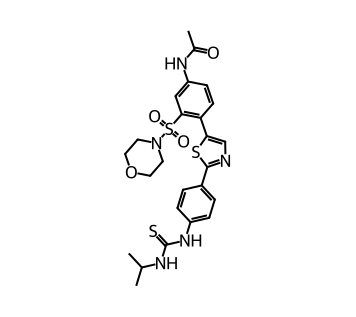 CC(=O)Nc1ccc(-c2cnc(-c3ccc(NC(=S)NC(C)C)cc3)s2)c(S(=O)(=O)N2CCOCC2)c1